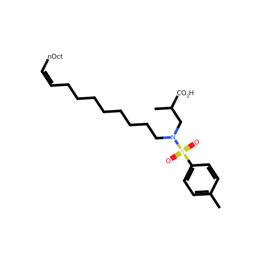 CCCCCCCC/C=C\CCCCCCCCN(CC(C)C(=O)O)S(=O)(=O)c1ccc(C)cc1